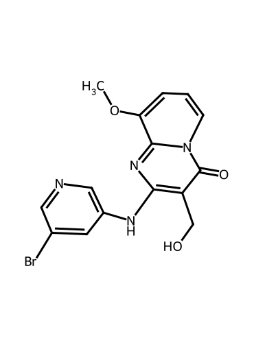 COc1cccn2c(=O)c(CO)c(Nc3cncc(Br)c3)nc12